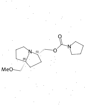 COC[C@]12CCCN1[C@H](COC(=O)N1CCCC1)CC2